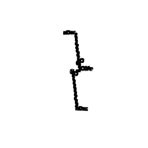 CCCCCCCCCCCCCCCCCCCCCCCCCCCC(=O)OCCC(CCOC(=O)CCCCCCCCCCCCCCCCCCCCCCCC)OC